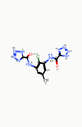 N#Cc1cc(NC(=O)c2nnn[nH]2)c(Cl)c(NC(=O)c2nnn[nH]2)c1